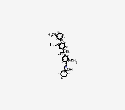 CCC(CC)(c1ccc(/C=C/C2(O)CCCCC2)c(C)c1)c1ccc(-c2cncc(C)c2)c(C)c1